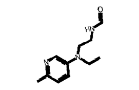 CCN(CCNC=O)c1ccc(C)nc1